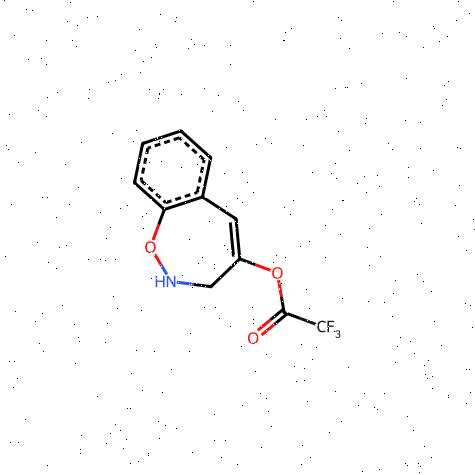 O=C(OC1=Cc2ccccc2ONC1)C(F)(F)F